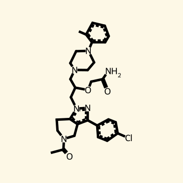 CC(=O)N1CCc2c(c(-c3ccc(Cl)cc3)nn2CC(CN2CCN(c3ccccc3C)CC2)OCC(N)=O)C1